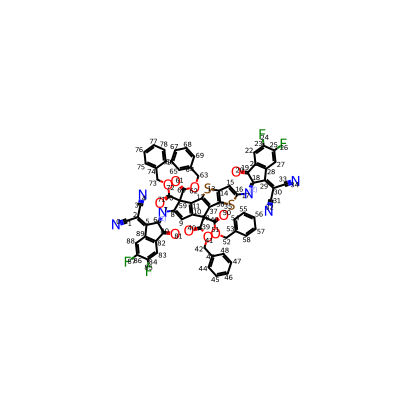 N#CC(C#N)=C1/C(=N/C2=CC3=C(c4sc5cc(/N=C6\C(=O)c7cc(F)c(F)cc7C6=C(C#N)C#N)sc5c4C3(C(=O)OCc3ccccc3)C(=O)OCc3ccccc3)C2(C(=O)OCc2ccccc2)C(=O)OCc2ccccc2)C(=O)c2cc(F)c(F)cc21